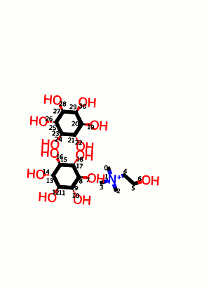 C[N+](C)(C)CCO.O[C@H]1[C@H](O)[C@@H](O)[C@H](O)[C@@H](O)[C@@H]1O.O[C@H]1[C@H](O)[C@@H](O)[C@H](O)[C@@H](O)[C@H]1O